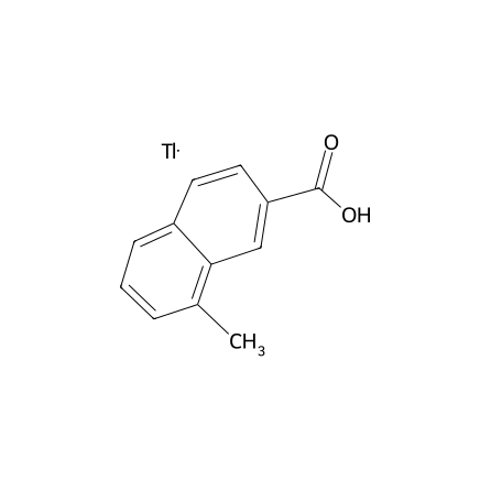 Cc1cccc2ccc(C(=O)O)cc12.[Tl]